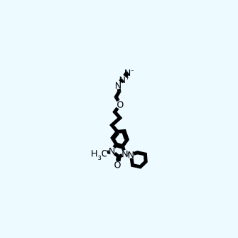 Cn1c(=O)n(N2CCCCC2)c2ccc(CCCOCCN=[N+]=[N-])cc21